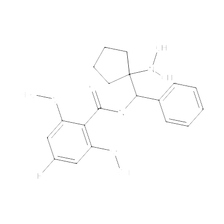 COc1cc(F)cc(SC)c1C(=O)NC(c1ccccc1)C1(N(C)C)CCCC1